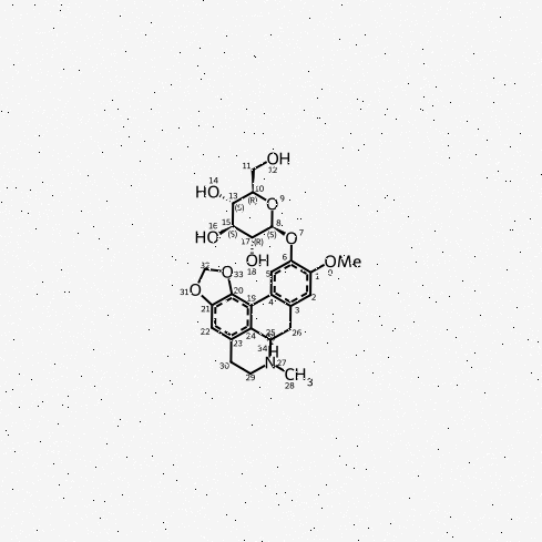 COc1cc2c(cc1O[C@@H]1O[C@H](CO)[C@@H](O)[C@H](O)[C@H]1O)-c1c3c(cc4c1[C@@H](C2)N(C)CC4)OCO3